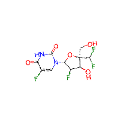 O=c1[nH]c(=O)n([C@@H]2O[C@@](CO)(C(F)F)[C@@H](O)[C@H]2F)cc1F